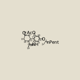 CCCCCC(C)Oc1cc2c(c(OC(C)=O)c1)C1CC(=O)CCC1[C@H](C)N2